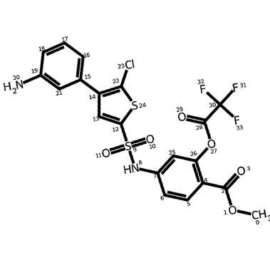 COC(=O)c1ccc(NS(=O)(=O)c2cc(-c3cccc(N)c3)c(Cl)s2)cc1OC(=O)C(F)(F)F